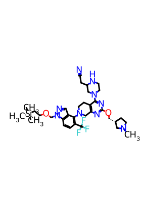 CN1CC[C@@H](COc2nc3c(c(N4CCNC(CC#N)C4)n2)CCN(c2c(C(F)(F)F)ccc4c2cnn4COCC[Si](C)(C)C)C3)C1